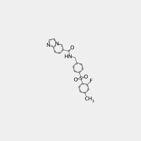 Cc1ccc(S(=O)(=O)c2ccc(CNC(=O)c3ccc4nccn4c3)cc2)c(F)c1